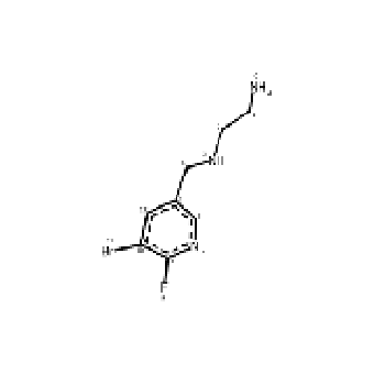 NCCNCc1cnc(F)c(Br)c1